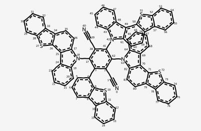 N#Cc1c(-c2cccc3c2sc2ccccc23)c(-n2c3ccccc3c3c4sc5ccccc5c4ccc32)c(C#N)c(-n2c3ccccc3c3c4sc5ccccc5c4ccc32)c1-n1c2ccccc2c2c3sc4ccccc4c3ccc21